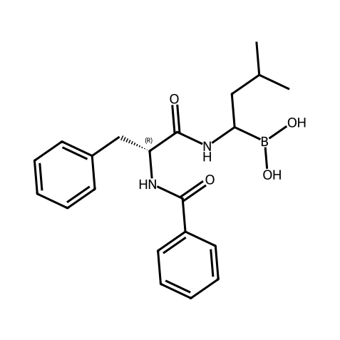 CC(C)CC(NC(=O)[C@@H](Cc1ccccc1)NC(=O)c1ccccc1)B(O)O